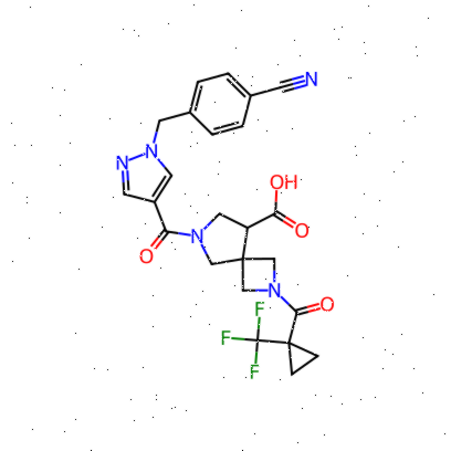 N#Cc1ccc(Cn2cc(C(=O)N3CC(C(=O)O)C4(C3)CN(C(=O)C3(C(F)(F)F)CC3)C4)cn2)cc1